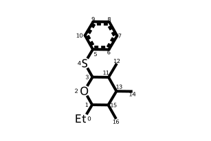 CCC1OC(Sc2ccccc2)C(C)C(C)C1C